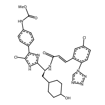 COC(=O)Nc1ccc(-c2nc([C@H](CC3CCC(O)CC3)NC(=O)/C=C/c3cc(Cl)ccc3-n3cnnn3)[nH]c2Cl)cc1